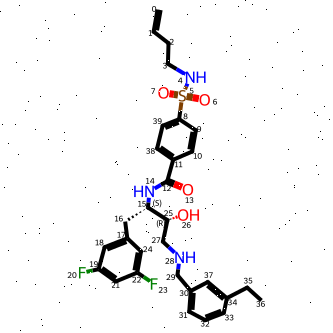 C=CCCNS(=O)(=O)c1ccc(C(=O)N[C@@H](Cc2cc(F)cc(F)c2)[C@H](O)CNCc2cccc(CC)c2)cc1